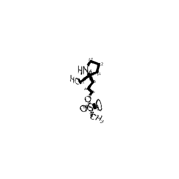 C#CC1(CCCOS(C)(=O)=O)CCCN1